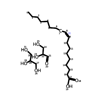 CCCCCCCC/C=C\CCCCCCCC(=O)O.O=CC(O)CO.OCC(O)CO